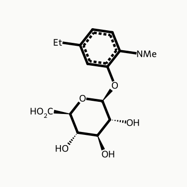 CCc1ccc(NC)c(O[C@@H]2O[C@H](C(=O)O)[C@@H](O)[C@H](O)[C@H]2O)c1